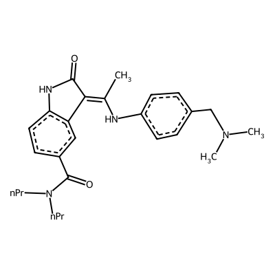 CCCN(CCC)C(=O)c1ccc2c(c1)C(=C(C)Nc1ccc(CN(C)C)cc1)C(=O)N2